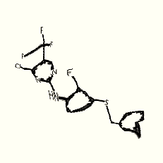 Fc1cc(SCc2ccccc2)ccc1Nc1ncc(C(F)(F)F)c(Cl)n1